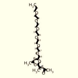 CCCOCCOCCOCCOCCOCCOCC(OCC(C)SC(C)=O)SC(C)=O